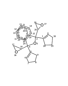 C1=C(C(OC(C2=CCCC2)(c2ccccc2)C2CO2)(c2ccccc2)C2CO2)CCC1